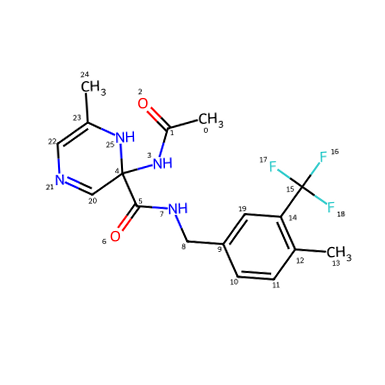 CC(=O)NC1(C(=O)NCc2ccc(C)c(C(F)(F)F)c2)C=NC=C(C)N1